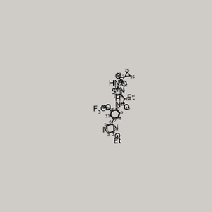 CCOc1cncc(-c2ccc(NC(=O)C(CC)c3csc(NS(=O)(=O)C4CC4)n3)c(OC(F)(F)F)c2)n1